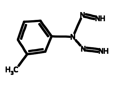 Cc1cccc(N(N=N)N=N)c1